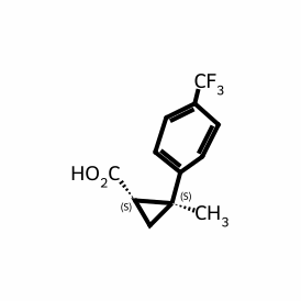 C[C@]1(c2ccc(C(F)(F)F)cc2)C[C@@H]1C(=O)O